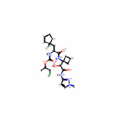 CC(CF)OC(=O)NC(CC1(F)CCCC1)C(=O)NC1(C(O)C(=O)Nc2ccn(C)n2)CCC1